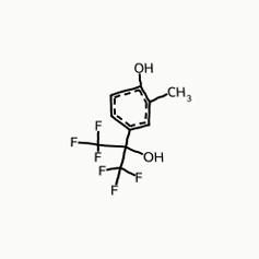 Cc1cc(C(O)(C(F)(F)F)C(F)(F)F)ccc1O